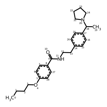 CCCCOc1ccc(C(=O)NCCc2ccc(C(C)N3CCCC3)cc2)cc1